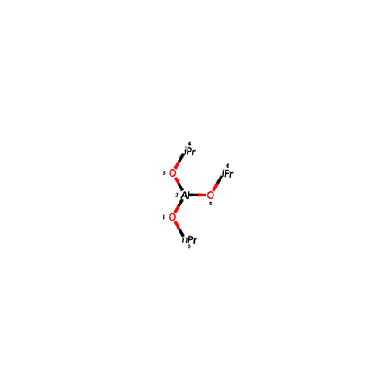 CCC[O][Al]([O]C(C)C)[O]C(C)C